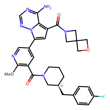 COc1ncc(-c2cc(C(=O)N3CC4(COC4)C3)c3c(N)ncnn23)cc1C(=O)N1CCC[C@@H](Cc2ccc(F)cc2)C1